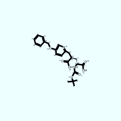 CC(C)(C)OC(=O)N[C@H](C[C@H](Cc1ccc(OCc2ccccc2)cn1)C(=O)O)C(=O)O